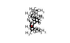 C=C(C)OC(=O)NC(C)C(=O)NCC1C2=C(CC3C4c5c(cc(C)c(OC)c5OCOC)CC([C@H](C#N)N13)N4C)C(=O)C(C)=C(O)C2=O